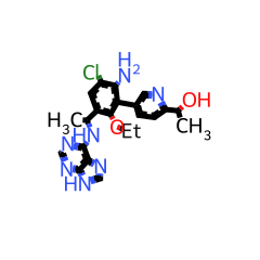 CCOc1c(C(C)Nc2ncnc3[nH]cnc23)cc(Cl)c(N)c1-c1ccc(C(C)O)nc1